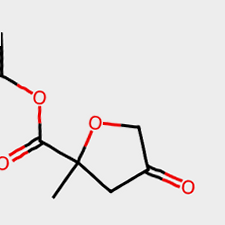 CCOC(=O)C1(C)CC(=O)CO1